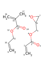 C=CC(=O)OCC1CO1.C=CCOC(=O)C(=C)C